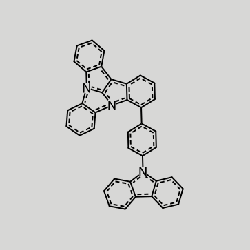 c1ccc2c(c1)c1ccccc1n2-c1ccc(-c2cccc3c4c5ccccc5n5c6ccccc6n(c23)c45)cc1